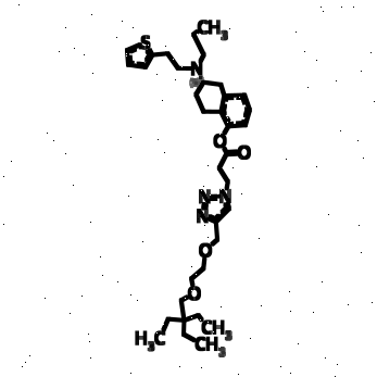 CCCN(CCc1cccs1)[C@H]1CCc2c(cccc2OC(=O)CCn2cc(COCCOCC(CC)(CC)CC)nn2)C1